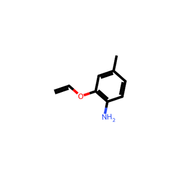 C=COc1cc(C)ccc1N